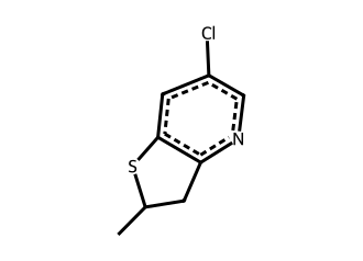 CC1Cc2ncc(Cl)cc2S1